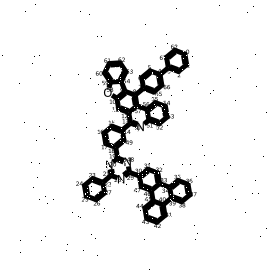 c1ccc(-c2ccc(-c3c4c(cc5c(-c6cccc(-c7nc(-c8ccccc8)nc(-c8ccc9c%10ccccc%10c%10ccccc%10c9c8)n7)c6)nc6ccccc6c35)oc3ccccc34)cc2)cc1